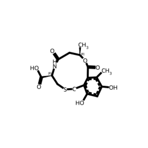 Cc1c(O)cc(O)c2c1C(=O)O[C@H](C)CC(=O)N[C@H](C(=O)O)CSC2